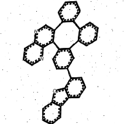 c1ccc2c(c1)-c1ccccc1-c1cnc3cccnc3c1-c1ccc(-c3cccc4c3oc3ccccc34)cc1-2